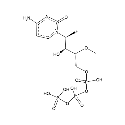 CO[C@H](COP(=O)(O)OP(=O)(O)OP(=O)(O)O)[C@@H](O)[C@H](F)n1ccc(N)nc1=O